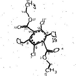 CCOC(=O)c1c(Cl)c(Cl)c(C(=O)OCC)c(Cl)c1Cl